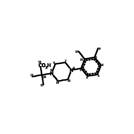 Cc1cccc(N2CCN(C(C)(C)C(=O)O)CC2)c1C